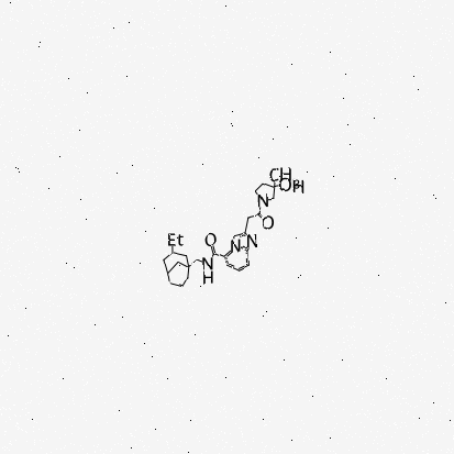 CCC1CC2CCCC(CNC(=O)c3cccc4nc(CC(=O)N5CCC(C)(O)C5)cn34)(C1)C2